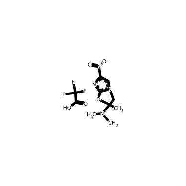 CN(C)C1(C)Cn2cc([N+](=O)[O-])nc2O1.O=C(O)C(F)(F)F